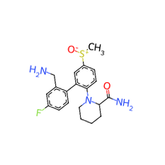 C[S+]([O-])c1ccc(N2CCCCC2C(N)=O)c(-c2ccc(F)cc2CN)c1